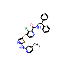 Cc1ccnc(Nc2ncc(Sc3ccnc(C(=O)NCC(c4ccccc4)c4ccccc4)c3F)s2)c1